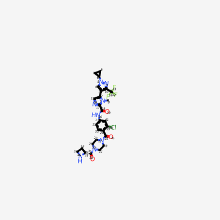 Cn1c(-c2cn(C3CC3)nc2C(F)(F)F)cnc1C(=O)Nc1ccc(C(=O)N2CCN(C(=O)[C@H]3CCN3)CC2)c(Cl)c1